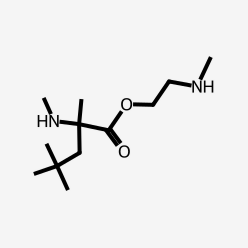 CNCCOC(=O)C(C)(CC(C)(C)C)NC